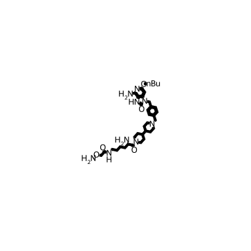 CCCCOc1cc2c([nH]c(=O)n2Cc2ccc(CN3CCC(C4CCN(C(=O)[C@@H](N)CCCCNC(=O)CON)CC4)CC3)cc2)c(N)n1